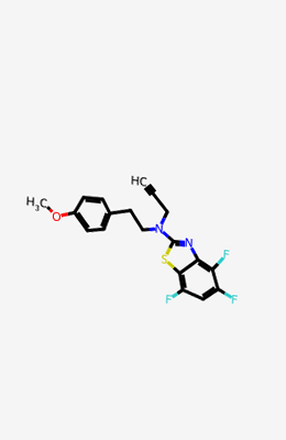 C#CCN(CCc1ccc(OC)cc1)c1nc2c(F)c(F)cc(F)c2s1